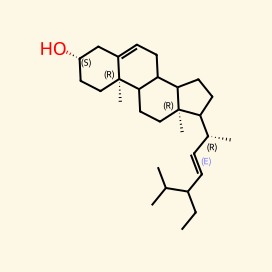 CCC(/C=C/[C@@H](C)C1CCC2C3CC=C4C[C@@H](O)CC[C@]4(C)C3CC[C@@]21C)C(C)C